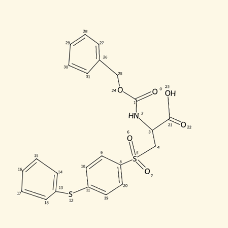 O=C(NC(CS(=O)(=O)c1ccc(Sc2ccccc2)cc1)C(=O)O)OCc1ccccc1